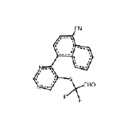 N#Cc1ccc(-c2ncncc2SC(F)(F)C=O)c2ccccc12